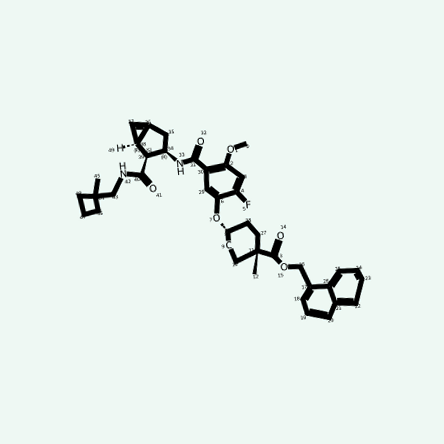 COc1cc(F)c(O[C@H]2CC[C@@](C)(C(=O)OCc3cccc4ccccc34)CC2)cc1C(=O)N[C@@H]1CC2=C[C@@H]2[C@@H]1C(=O)NCC1(C)CCC1